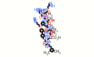 CCc1cc(OCCCCN=[N+]=[N-])ccc1-c1ccc(C[C@H](NC(=O)[C@H](CC(=O)O)NC(=O)[C@H](C)NC(=O)[C@@H](NC(=O)[C@](C)(Cc2ccccc2F)NC(=O)[C@@H](NC(=O)CNC(=O)[C@H](Cc2nn[nH]n2)NC(=O)C(C)(C)C(=O)NCCc2cnc[nH]2)[C@@H](C)O)[C@@H](C)O)C(=O)N[C@@H](CCCc2cc(C)cc(C)c2)C(N)=O)cc1